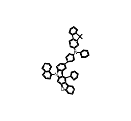 CC1(C)c2ccccc2-c2ccc(N(c3ccccc3)c3ccc(-c4ccc5c(c4)c4c(-c6ccccc6)c6c(cc4n5-c4cccc5ccccc45)oc4ccccc46)cc3)cc21